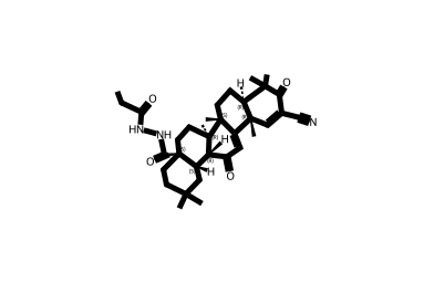 CCC(=O)NNC(=O)[C@]12CCC(C)(C)C[C@H]1[C@H]1C(=O)C=C3[C@@]4(C)C=C(C#N)C(=O)C(C)(C)[C@@H]4CC[C@@]3(C)[C@]1(C)CC2